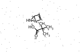 C1=CN2NC12.CC(C)(C)C(=O)O